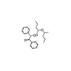 CCCC(C)OC(C)CCC.O=C(c1ccccc1)C(O)c1ccccc1